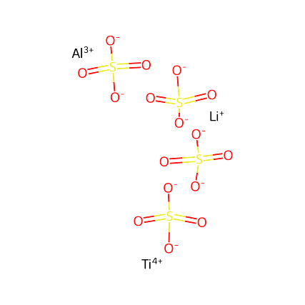 O=S(=O)([O-])[O-].O=S(=O)([O-])[O-].O=S(=O)([O-])[O-].O=S(=O)([O-])[O-].[Al+3].[Li+].[Ti+4]